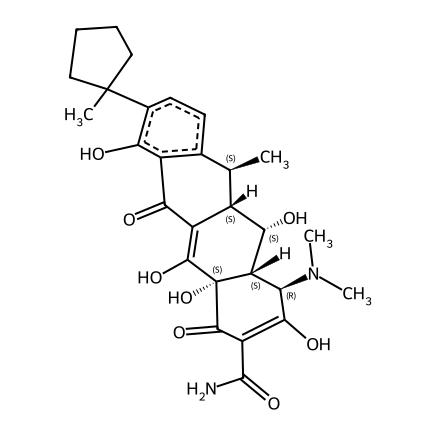 C[C@@H]1c2ccc(C3(C)CCCC3)c(O)c2C(=O)C2=C(O)[C@]3(O)C(=O)C(C(N)=O)=C(O)[C@H](N(C)C)[C@H]3[C@@H](O)[C@H]21